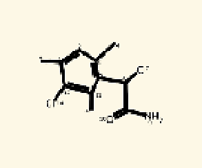 Cc1cc(C)c(C(Cl)C(N)=O)c(C)c1Cl